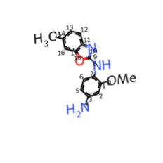 COc1cc(N)ccc1Nc1nc2ccc(C)cc2o1